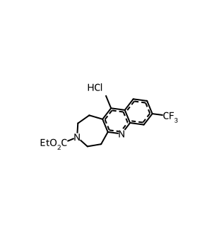 CCOC(=O)N1CCc2nc3cc(C(F)(F)F)ccc3c(C)c2CC1.Cl